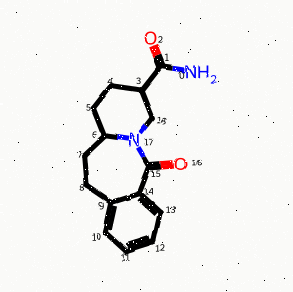 NC(=O)C1CCC2CCc3ccccc3C(=O)N2C1